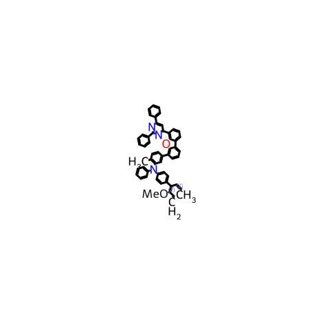 C=C/C(OC)=C(\C=C/C)c1ccc(N(c2ccccc2)c2cc(-c3cccc4c3oc3c(-c5cc(-c6ccccc6)nc(-c6ccccc6)n5)cccc34)ccc2C)cc1